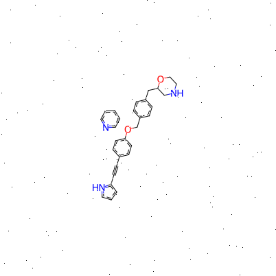 C(#Cc1ccc[nH]1)c1ccc(OCc2ccc(CC3CNCCO3)cc2)cc1.c1ccncc1